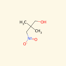 CC(C)(CO)C[N+](=O)[O-]